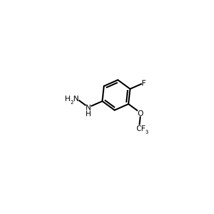 NNc1ccc(F)c(OC(F)(F)F)c1